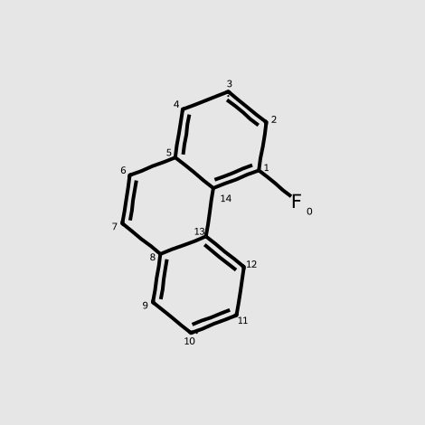 Fc1c[c]cc2ccc3c[c]ccc3c12